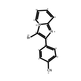 N#Cc1ccc(-c2nc3ccccn3c2Br)cc1